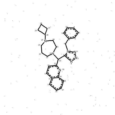 c1ccc(Cn2nnnc2C(c2ccc3ccccc3n2)N2CCCN(C3CCC3)CC2)cc1